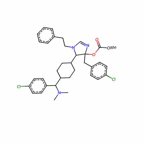 COC(=O)OC1(Cc2ccc(Cl)cc2)N=CN(CCc2ccccc2)C1C1CCC(C(c2ccc(Cl)cc2)N(C)C)CC1